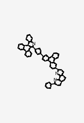 c1ccc(-c2ccc3ccc4ccc(-c5ccc6c7ccc(-c8ccc(-c9nc%10ccccc%10c%10c%11ccccc%11c%11ccccc%11c9%10)cc8)cc7c7ccccc7c6c5)nc4c3n2)cc1